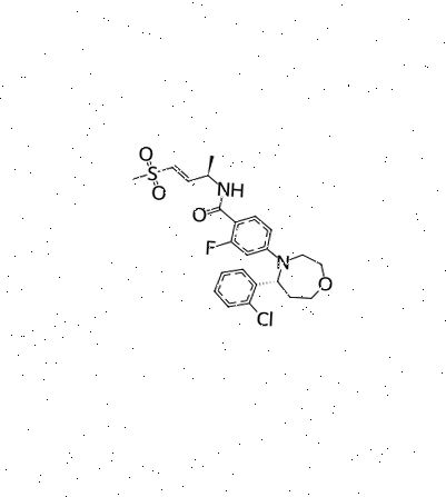 C[C@H](/C=C/S(C)(=O)=O)NC(=O)c1ccc(N2CCOCC[C@@H]2c2ccccc2Cl)cc1F